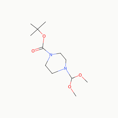 CO[C](OC)N1CCN(C(=O)OC(C)(C)C)CC1